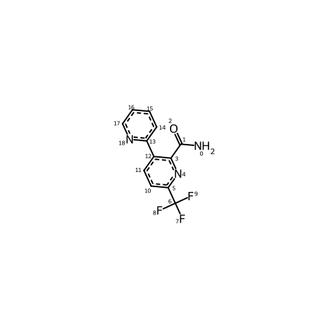 NC(=O)c1nc(C(F)(F)F)ccc1-c1ccccn1